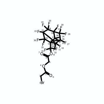 O=C(CBr)OCC(=O)OC(F)(F)C12C(F)(F)C3(F)C(F)(F)C(F)(C(F)(F)C(F)(C3(F)F)C1(F)F)C2(F)F